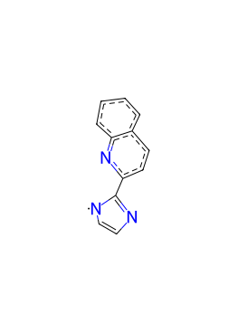 C1=CN=C(c2ccc3ccccc3n2)[N]1